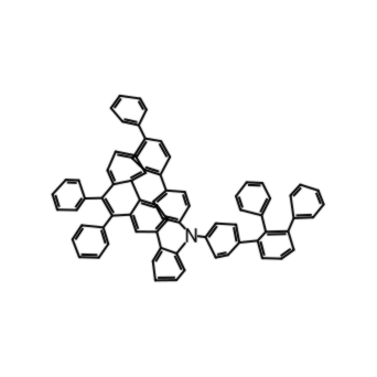 c1ccc(-c2ccc(-c3ccc(N(c4ccc(-c5cccc(-c6ccccc6)c5-c5ccccc5)cc4)c4ccccc4-c4ccc5c(c4)c(-c4ccccc4)c(-c4ccccc4)c4ccccc45)cc3)cc2)cc1